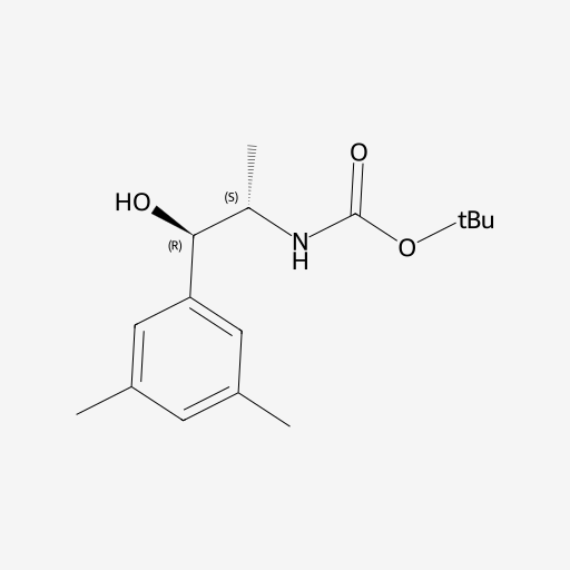 Cc1cc(C)cc([C@@H](O)[C@H](C)NC(=O)OC(C)(C)C)c1